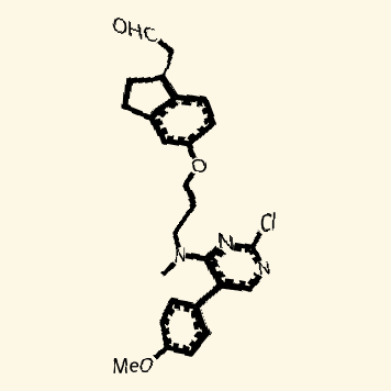 COc1ccc(-c2cnc(Cl)nc2N(C)CCCOc2ccc3c(c2)CC[C@H]3CC=O)cc1